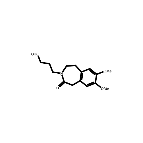 COc1cc2c(cc1OC)CC(=O)N(CCCC=O)CC2